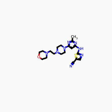 Cc1nc(Nc2ncc(C#N)s2)cc(N2CCN(CCN3CCOCC3)CC2)n1